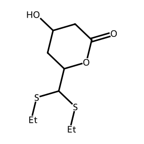 CCSC(SCC)C1CC(O)CC(=O)O1